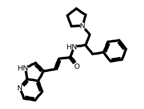 O=C(C=Cc1c[nH]c2ncccc12)NC(Cc1ccccc1)CN1CCCC1